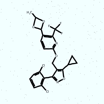 CC1OC(c2ccc(OCc3c(-c4c(Cl)cccc4Cl)noc3C3CC3)nc2C(F)(F)F)O1